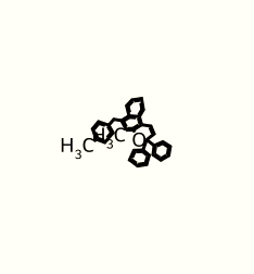 Cc1ccc(Cc2c(C)c3c(c4ccccc24)C=CC(c2ccccc2)(c2ccccc2)O3)cc1